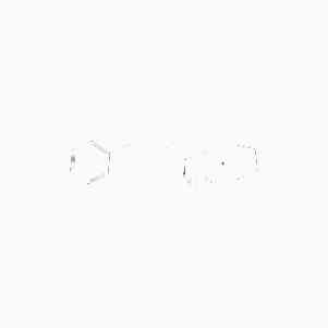 N#CC1(C[C@@H](O)COCc2ccccc2)CCCC1